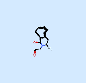 CC1Cc2ccccc2C(=O)N1CC=O